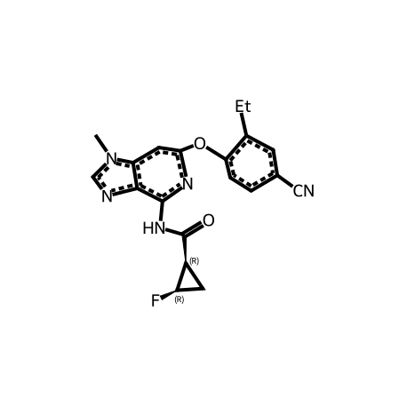 CCc1cc(C#N)ccc1Oc1cc2c(ncn2C)c(NC(=O)[C@H]2C[C@H]2F)n1